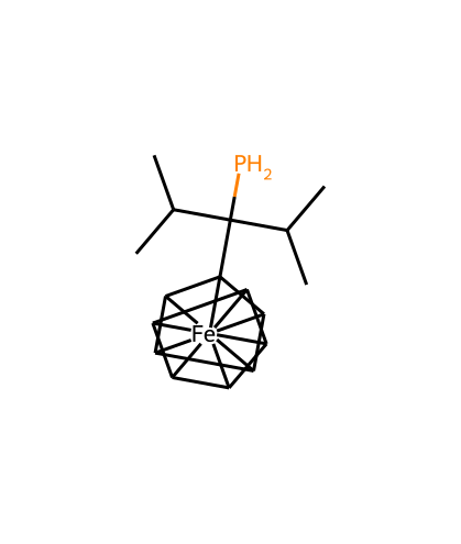 CC(C)C(P)(C(C)C)[C]12[CH]3[CH]4[CH]5[CH]1[Fe]45321678[CH]2[CH]1[CH]6[CH]7[CH]28